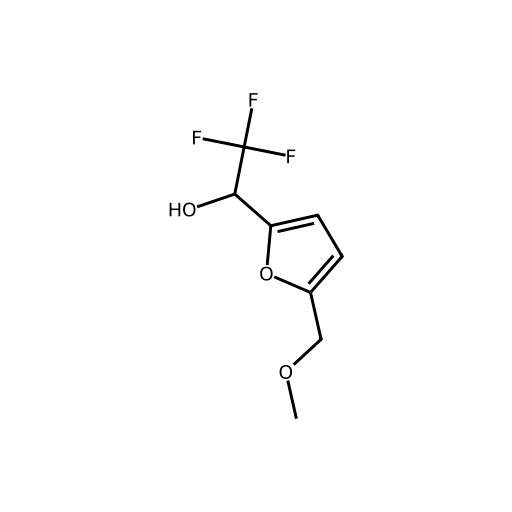 COCc1ccc(C(O)C(F)(F)F)o1